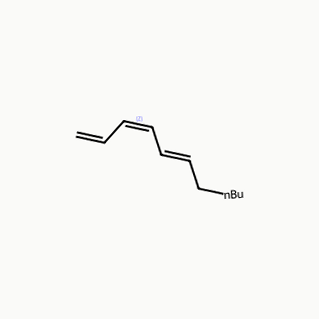 C=C/C=C\C=CCCCCC